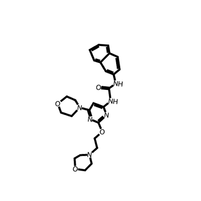 O=C(Nc1ccc2ccccc2c1)Nc1cc(N2CCOCC2)nc(OCCN2CCOCC2)n1